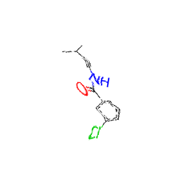 CC(C)C#CNC(=O)c1cccc(Cl)c1